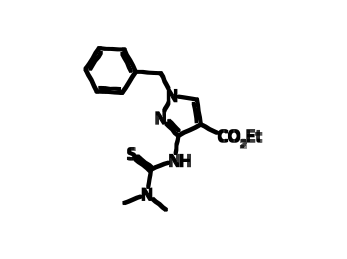 CCOC(=O)c1cn(Cc2ccccc2)nc1NC(=S)N(C)C